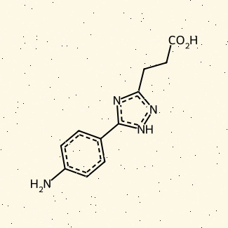 Nc1ccc(-c2nc(CCC(=O)O)n[nH]2)cc1